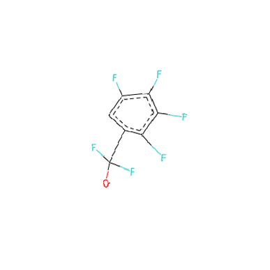 [O]C(F)(F)c1cc(F)c(F)c(F)c1F